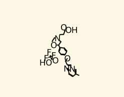 Cc1ccc2nc(COc3ccc(C4CN(CCC(=O)O)CCO4)cc3)cn2c1.O=C(O)C(F)(F)F